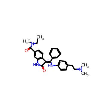 CCN(C)C(=O)c1ccc2c(c1)NC(=O)/C2=C(\Nc1ccc(CCN(C)C)cc1)c1ccccc1